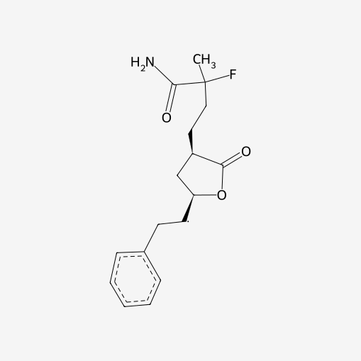 CC(F)(CC[C@@H]1C[C@H]([CH]Cc2ccccc2)OC1=O)C(N)=O